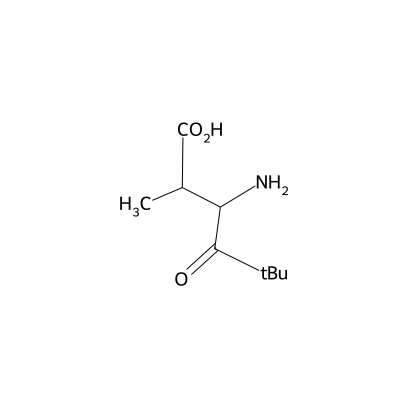 CC(C(=O)O)C(N)C(=O)C(C)(C)C